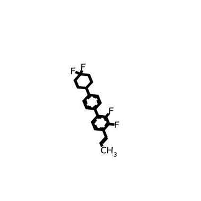 CC=Cc1ccc(-c2ccc(C3CCC(F)(F)CC3)cc2)c(F)c1F